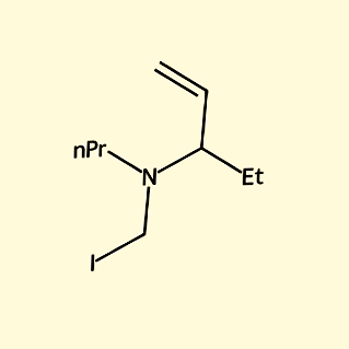 C=CC(CC)N(CI)CCC